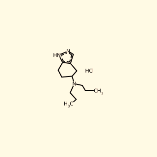 CCCN(CCC)C1CCc2[nH]ncc2C1.Cl